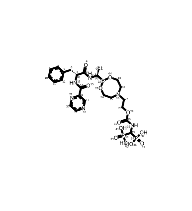 CC[C@H](NC(=O)[C@@H](Cc1ccccc1)NC(=O)c1cnccn1)B1OCCN(CCOC(=O)NC(P(=O)(O)O)P(=O)(O)O)CCO1